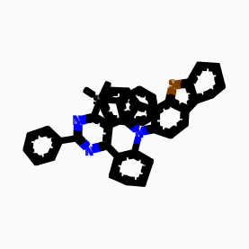 C[Si]1(C)c2ccccc2-c2c(-c3ccccc3-n3c4ccccc4c4c5sc6ccccc6c5ccc43)nc(-c3ccccc3)nc21